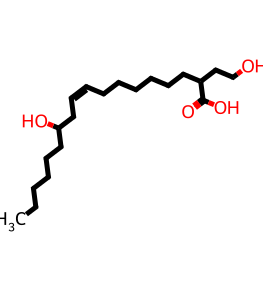 CCCCCCC(O)C/C=C\CCCCCCC(CCO)C(=O)O